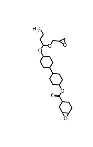 CCCC(OCC1CO1)OC1CCC(C2CCC(OC(=O)C3CCC4OC4C3)CC2)CC1